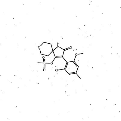 COc1cc(C)cc(Cl)c1C1=C(OS(C)(=O)=O)C2(CCOCC2)NC1=O